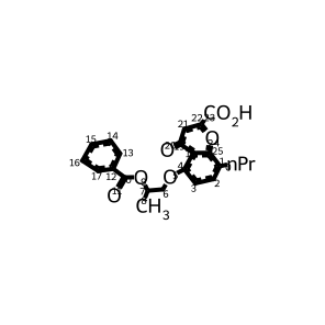 CCCc1ccc(OCC(C)OC(=O)c2ccccc2)c2c(=O)cc(C(=O)O)oc12